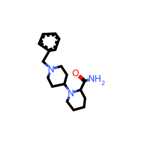 NC(=O)C1CCCCN1C1CCN(Cc2ccccc2)CC1